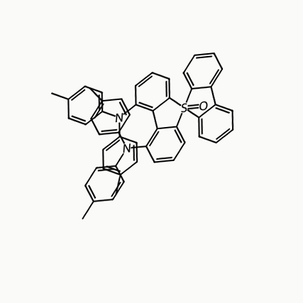 Cc1ccc(N(c2ccc(C)cc2)c2cccc3c2-c2c(N(c4ccc(C)cc4)c4ccc(C)cc4)cccc2S32(=O)c3ccccc3-c3ccccc32)cc1